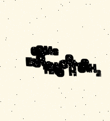 CCOc1cc(C(=O)OC)c(C2CC2)cc1CN1CCC2(CC1)CN(c1ccc(C(=O)NCCCS(N)(=O)=O)cc1)C(=O)N2